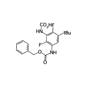 CC(C)(C)c1cc(NC(=O)OCc2ccccc2)c(F)c(NC(=O)O)c1F